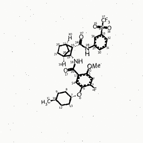 COc1cc(F)c(O[C@H]2CC[C@H](C)CC2)cc1C(=O)N[C@@H]1[C@H]2CC[C@H](C2)[C@@H]1C(=O)Nc1cccc(S(=O)(=O)C(F)(F)F)c1